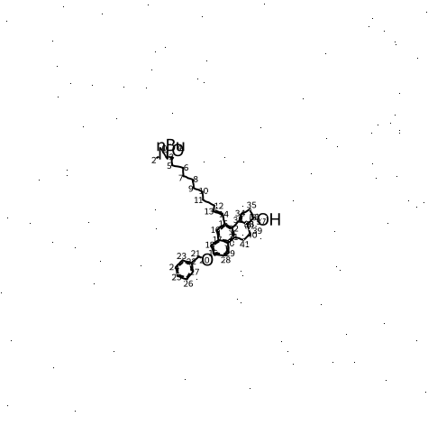 CCCCN(C)C(=O)CCCCCCCCC=Cc1cc2cc(OCc3ccccc3)ccc2c2c1C1=CC[C@H](O)[C@@]1(C)CC2